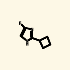 Fc1c[nH]c(C2CCC2)n1